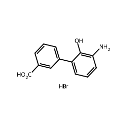 Br.Nc1cccc(-c2cccc(C(=O)O)c2)c1O